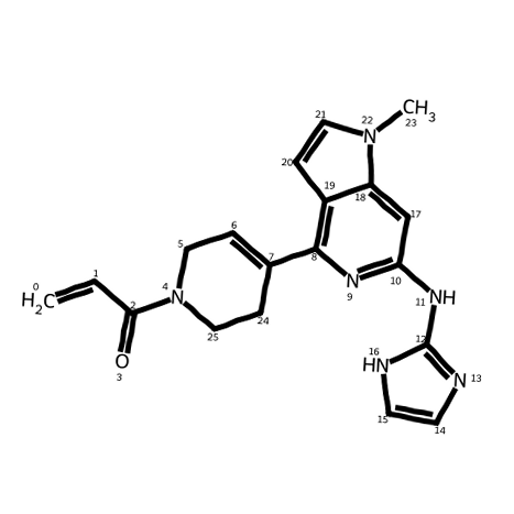 C=CC(=O)N1CC=C(c2nc(Nc3ncc[nH]3)cc3c2ccn3C)CC1